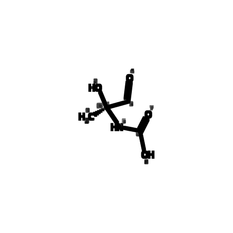 C[C@](O)(C=O)NC(=O)O